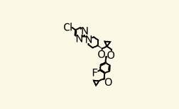 O=C(c1ccc(C2OCC3(CC3)[C@H](C3CCN(c4ncc(Cl)cn4)CC3)O2)cc1F)C1CC1